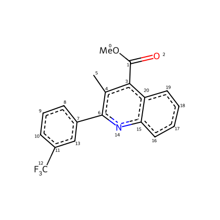 COC(=O)c1c(C)c(-c2cccc(C(F)(F)F)c2)nc2ccccc12